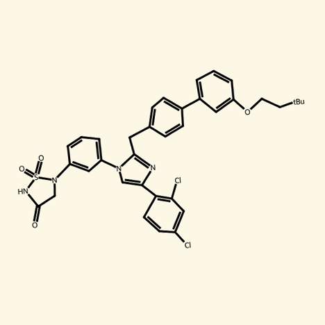 CC(C)(C)CCOc1cccc(-c2ccc(Cc3nc(-c4ccc(Cl)cc4Cl)cn3-c3cccc(N4CC(=O)NS4(=O)=O)c3)cc2)c1